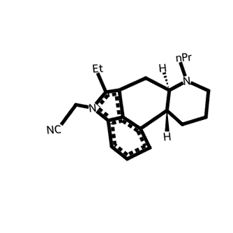 CCCN1CCC[C@@H]2c3cccc4c3c(c(CC)n4CC#N)C[C@H]21